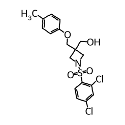 Cc1ccc(OCC2(CO)CN(S(=O)(=O)c3ccc(Cl)cc3Cl)C2)cc1